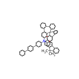 CC1(C)c2ccccc2-c2ccc(N(c3ccc(-c4ccc(-c5ccccc5)cc4)cc3)c3ccc4c(c3)C3(c5ccccc5-c5ccccc5-4)c4ccccc4-c4cc5ccccc5cc43)cc21